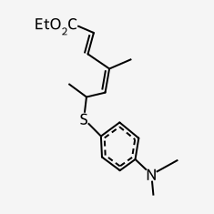 CCOC(=O)C=CC(C)=CC(C)Sc1ccc(N(C)C)cc1